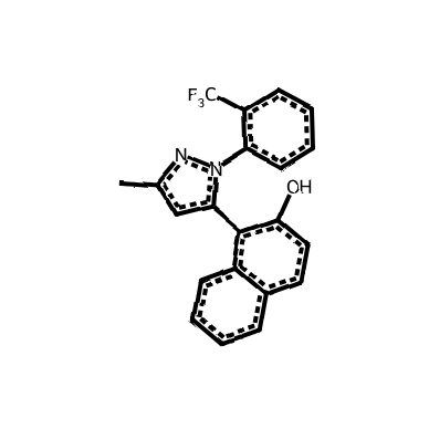 Cc1cc(-c2c(O)ccc3ccccc23)n(-c2ccccc2C(F)(F)F)n1